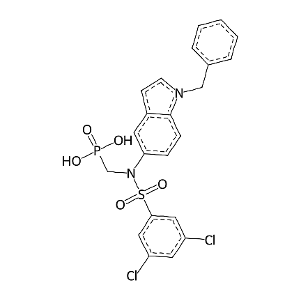 O=P(O)(O)CN(c1ccc2c(ccn2Cc2ccccc2)c1)S(=O)(=O)c1cc(Cl)cc(Cl)c1